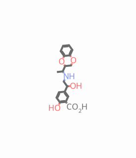 CC(NCC(O)c1ccc(O)c(C(=O)O)c1)C1COc2ccccc2O1